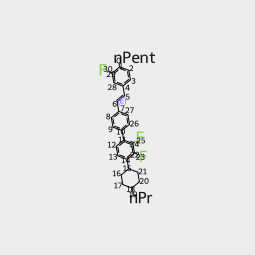 CCCCCc1ccc(/C=C/c2ccc(-c3ccc(C4CCC(CCC)CC4)c(F)c3F)cc2)cc1F